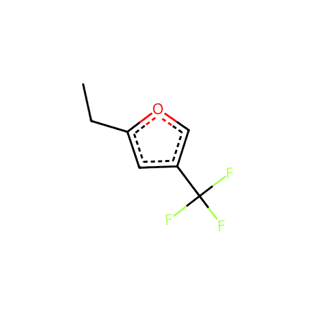 CCc1cc(C(F)(F)F)co1